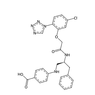 O=C(COc1cc(Cl)ccc1-n1cnnn1)N[C@H](CNc1ccc(C(=O)O)cc1)Cc1ccccc1